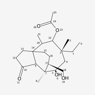 CC[C@]1(C)C[C@@H](O)[C@@]2(C)C3C(=O)CCC3(CC[C@H]2CO)C(C)C1OC(C)=O